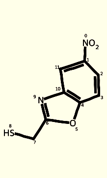 O=[N+]([O-])c1ccc2oc(CS)nc2c1